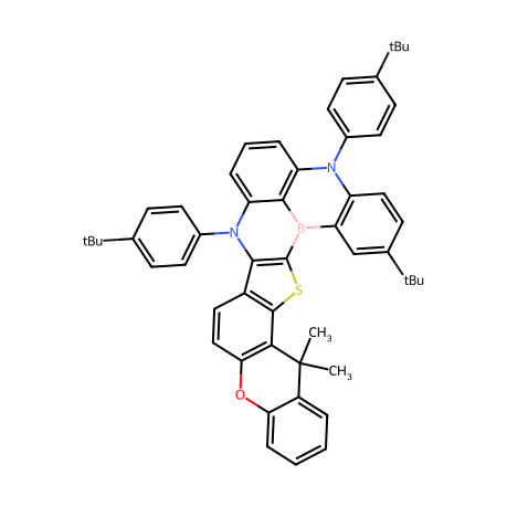 CC(C)(C)c1ccc(N2c3ccc(C(C)(C)C)cc3B3c4sc5c6c(ccc5c4N(c4ccc(C(C)(C)C)cc4)c4cccc2c43)Oc2ccccc2C6(C)C)cc1